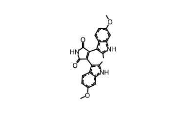 COc1ccc2c(C3=C(c4c(C)[nH]c5cc(OC)ccc45)C(=O)NC3=O)c(C)[nH]c2c1